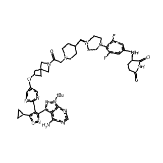 CC(C)(C)n1nc(-c2noc(C3CC3)c2-c2ncc(OC3CC4(C3)CN(C(=O)CN3CCC(CN5CCN(c6c(F)cc(NC7CCC(=O)NC7=O)cc6F)CC5)CC3)C4)cn2)c2c(N)ncnc21